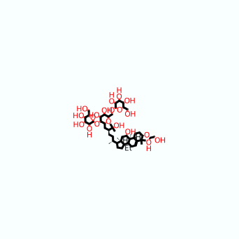 CC[C@@]12CCC([C@H](C)CC[C@@H](CC3OC(COC4OC(CO)C(O)C(O)C4O)C(O)C(O)C3OC3OC(CO)C(O)C(O)C3O)C(C)(C)O)[C@@]1(C)C[C@@H](O)[C@@]1(C)[C@@H]3CC[C@H](O[C@H](O)CO)C(C)(C)C3=CC[C@H]12